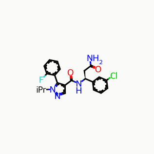 CC(C)n1ncc(C(=O)N[C@@H](CC(N)=O)c2cccc(Cl)c2)c1-c1ccccc1F